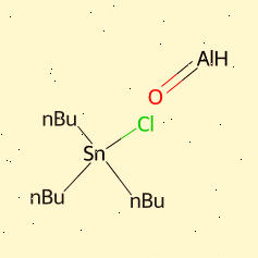 CCC[CH2][Sn]([Cl])([CH2]CCC)[CH2]CCC.[O]=[AlH]